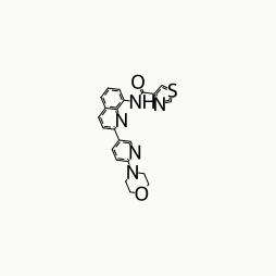 O=C(Nc1cccc2ccc(-c3ccc(N4CCOCC4)nc3)nc12)c1cscn1